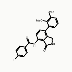 COc1cccc(-c2ccc(NC(=O)c3ccc(F)cc3)c3c2CNC3=O)c1OC